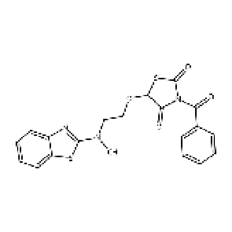 CN(CCOC1SC(=O)N(C(=O)c2ccccc2)C1=O)c1nc2ccccc2s1